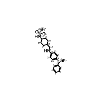 CC(C)N(c1ccccc1)c1ccc(NCC2CCC(NS(=O)(=O)C(C)C)CC2)cc1